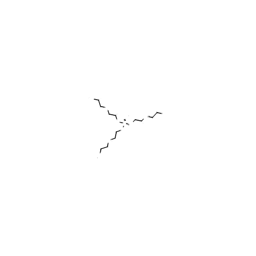 O=P(OCCOCCF)(OCCOCCF)OCCOCCF